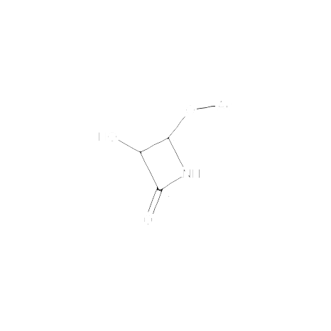 CC(=O)OC1NC(=O)C1O